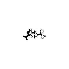 COC(=O)CNc1ncc(C(C)C)s1